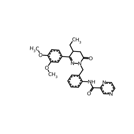 CCC1CC(=O)N(Cc2ccccc2NC(=O)c2cnccn2)N=C1c1ccc(OC)c(OC)c1